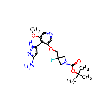 COc1cncc(OCC2(F)CN(C(=O)OC(C)(C)C)C2)c1-c1cc(N)n[nH]1